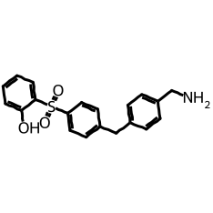 NCc1ccc(Cc2ccc(S(=O)(=O)c3ccccc3O)cc2)cc1